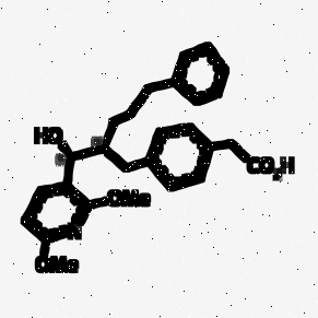 COc1ccc([C@@H](O)[C@@H](CCCc2ccccc2)Cc2ccc(CC(=O)O)cc2)c(OC)n1